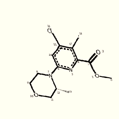 COC(=O)c1nc(N2CCOC[C@H]2C)cc(Cl)c1I